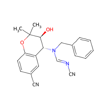 CC1(C)Oc2ccc(C#N)cc2[C@@H](N(C=NC#N)Cc2ccccc2)[C@@H]1O